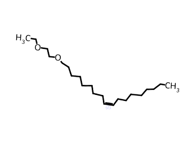 CCCCCCCC/C=C\CCCCCCCCOCCOCC